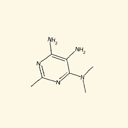 Cc1nc(N)c(N)c(N(C)C)n1